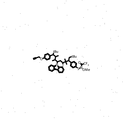 C#CCOc1ccc(C(C(C)C(C)C(CC(I)C(C)(C)C(CC(C)(C)C)c2ccc(SN(OC)C(=O)C(F)(F)F)cc2)n2c3ccccc3c3ccccc32)C(C)(C)C)cc1